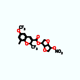 Cc1cc(OC(F)(F)F)cc2c1OC(C(F)(F)F)C(C(=O)OC1COC3C(O[N+](=O)[O-])COC13)=C2